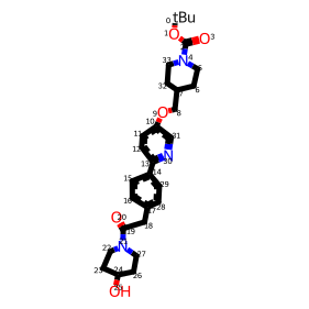 CC(C)(C)OC(=O)N1CCC(COc2ccc(-c3ccc(CC(=O)N4CCC(O)CC4)cc3)nc2)CC1